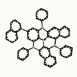 S=P12c3c4cc(-c5cccc6ccccc56)cc3N(c3ccccc3)c3cc5ccccc5c(c31)N(c1ccccc1)c1c2c(cc2ccccc12)N4c1ccccc1